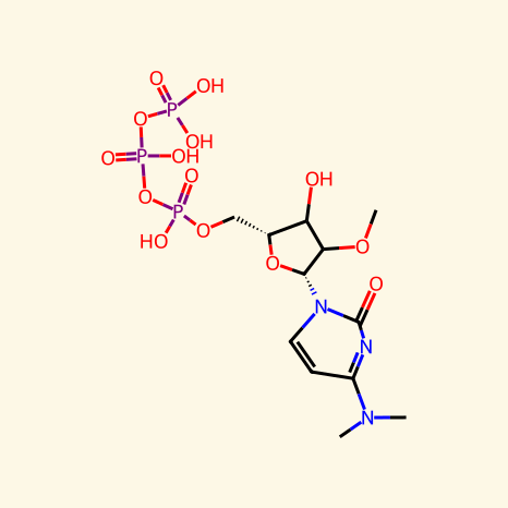 COC1C(O)[C@@H](COP(=O)(O)OP(=O)(O)OP(=O)(O)O)O[C@H]1n1ccc(N(C)C)nc1=O